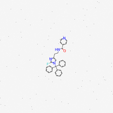 O=C(NCCc1cn(C(c2ccccc2)(c2ccccc2)c2ccccc2)c(F)n1)c1ccncc1